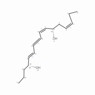 CC/C=C\C[C@H](O)\C=C/C=C/C=C/[C@H](O)CCC